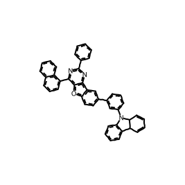 C1=CC2c3ccccc3N(c3cccc(-c4ccc5oc6c(-c7cccc8ccccc78)nc(-c7ccccc7)nc6c5c4)c3)C2C=C1